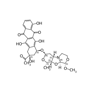 CO[C@H]1OCCN2[C@@H]1O[C@@H]1[C@H](C)O[C@@H](O[C@H]3C[C@](O)(C(C)=O)Cc4c(O)c5c(c(O)c43)C(=O)c3c(O)cccc3C5=O)C[C@@H]12